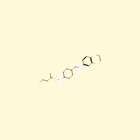 CCCC(C)S(=O)(=O)NC1CCC(CNc2ccc3c(c2)OCCO3)CC1